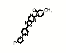 CN1CCN(c2ncc3nc(-c4ccc(N5CC[C@@H](F)C5)nc4)sc3n2)C(=O)C1